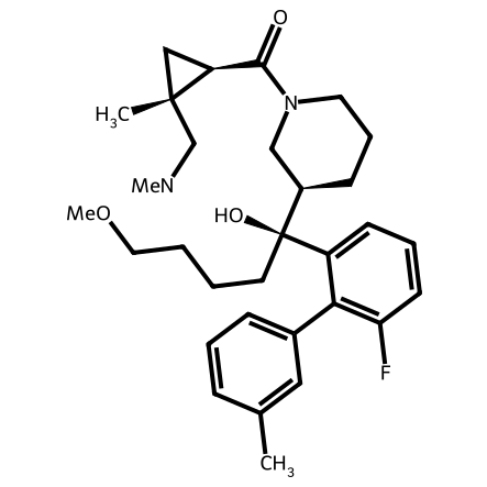 CNC[C@]1(C)C[C@H]1C(=O)N1CCC[C@@H]([C@@](O)(CCCCOC)c2cccc(F)c2-c2cccc(C)c2)C1